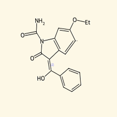 CCOc1[c]cc2c(c1)N(C(N)=O)C(=O)/C2=C(\O)c1ccccc1